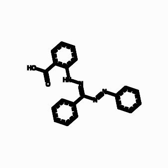 O=C(O)c1ccccc1N/N=C(/N=N/c1ccccc1)c1ccccc1